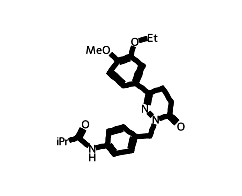 CCOc1cc(C2=NN(Cc3ccc(NC(=O)C(C)C)cc3)C(=O)CC2)ccc1OC